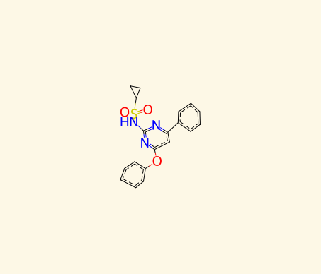 O=S(=O)(Nc1nc(Oc2ccccc2)cc(-c2ccccc2)n1)C1CC1